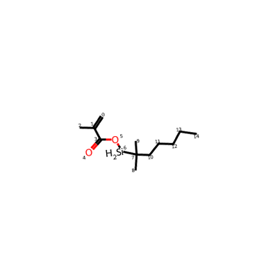 C=C(C)C(=O)O[SiH2]C(C)(C)CCCCC